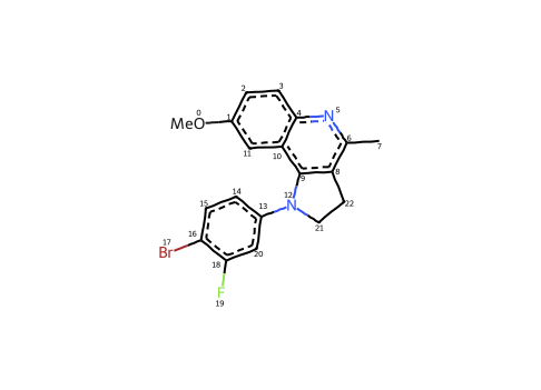 COc1ccc2nc(C)c3c(c2c1)N(c1ccc(Br)c(F)c1)CC3